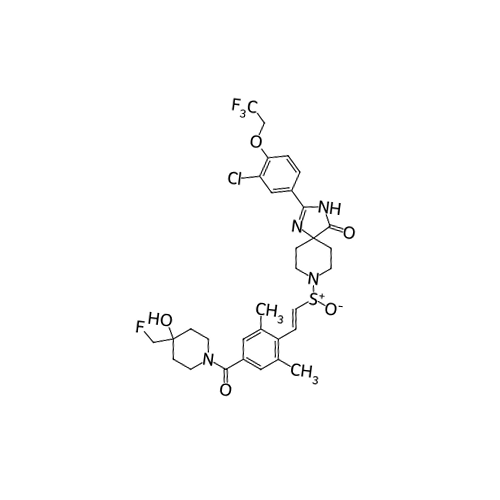 Cc1cc(C(=O)N2CCC(O)(CF)CC2)cc(C)c1/C=C/[S+]([O-])N1CCC2(CC1)N=C(c1ccc(OCC(F)(F)F)c(Cl)c1)NC2=O